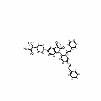 CC(C(=O)O)C1CCN(c2ccc3c(c2)n(C)c(=O)n3-c2ccc(OCc3ccccc3)nc2OCc2ccccc2)CC1